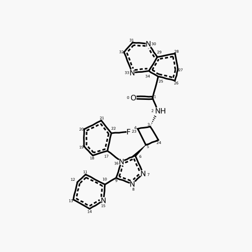 O=C(N[C@H]1C[C@H](c2nnc(-c3ccccn3)n2-c2ccccc2F)C1)c1cccc2nccnc12